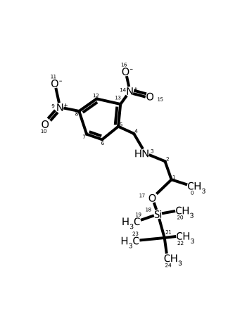 CC(CNCc1ccc([N+](=O)[O-])cc1[N+](=O)[O-])O[Si](C)(C)C(C)(C)C